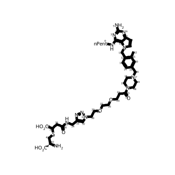 CCCCCNc1nc(N)nc2ccn(Cc3ccc(CN4CCN(C(=O)CCOCCOCCn5cc(CNC(=O)CC(SC[C@H](N)C(=O)O)C(=O)O)nn5)CC4)cc3C)c12